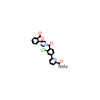 CNC(=O)c1cccc(-c2ccc(C(=O)N3CC[C@@]4(C3)OC(=O)c3ccccc34)c(Cl)c2)n1